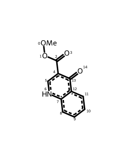 COOC(=O)c1c[nH]c2ccccc2c1=O